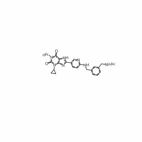 CCCn1c(=O)c2[nH]c(-c3ccc(NCc4cccc(CNC(C)=O)c4)nc3)nc2n(C2CC2)c1=O